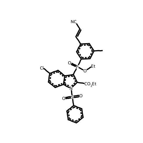 CCOC(=O)c1c(P(=O)(OCC)c2cc(C)cc(/C=C/C#N)c2)c2cc(Cl)ccc2n1S(=O)(=O)c1ccccc1